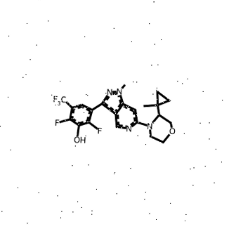 Cn1nc(-c2cc(C(F)(F)F)c(F)c(O)c2F)c2cnc(N3CCOCC3C3(C)CC3)cc21